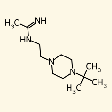 CC(=N)NCCN1CCN(C(C)(C)C)CC1